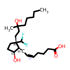 CCCCCC(C)(O)CC[C@]1([C](F)F)CC[C@H](O)[C@@H]1C/C=C\CCCC(=O)O